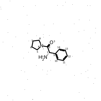 N[C@H](C(=O)N1CCCC1)c1ccccc1